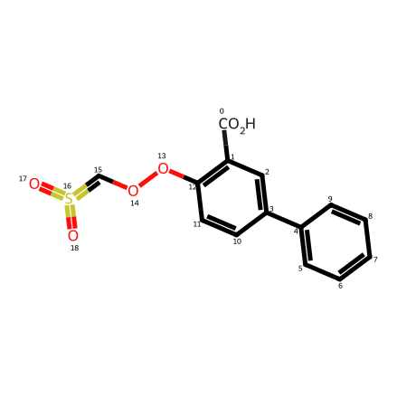 O=C(O)c1cc(-c2ccccc2)ccc1OOC=S(=O)=O